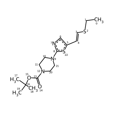 CCS/C=C/c1cnc(N2CCN(C(=O)OC(C)(C)C)CC2)s1